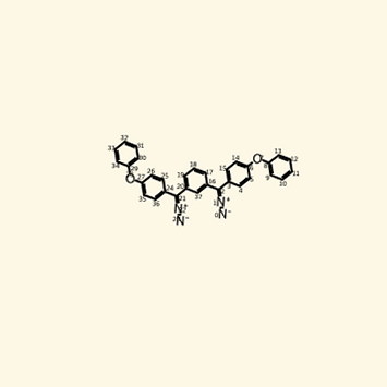 [N-]=[N+]=C(c1ccc(Oc2ccccc2)cc1)c1cccc(C(=[N+]=[N-])c2ccc(Oc3ccccc3)cc2)c1